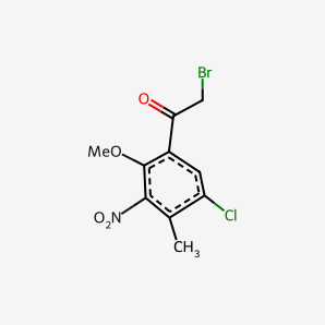 COc1c(C(=O)CBr)cc(Cl)c(C)c1[N+](=O)[O-]